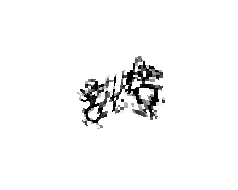 O=C(Nc1ccccc1S(=O)(=O)F)Nc1ccccc1S(=O)(=O)F